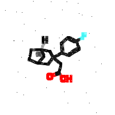 O=C(O)CC1(c2ccc(F)cc2)CC2CC[C@H](C2)C1